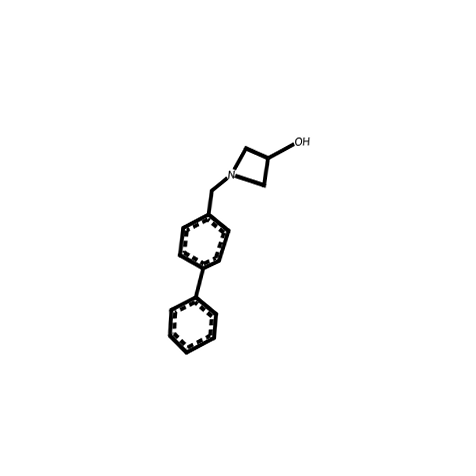 OC1CN(Cc2ccc(-c3ccccc3)cc2)C1